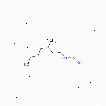 CCCCC(C)CCNCN